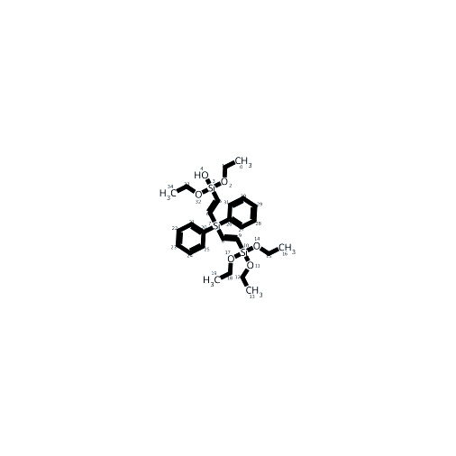 CCO[Si](O)(C=C[Si](C=C[Si](OCC)(OCC)OCC)(c1ccccc1)c1ccccc1)OCC